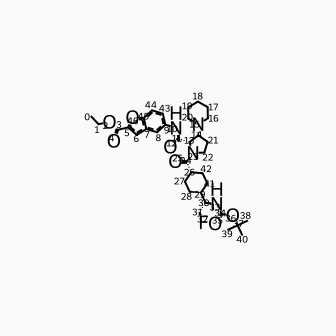 CCOC(=O)c1cc2cc(NC(=O)[C@@H]3[C@H](N4CCCCC4)CCN3C(=O)[C@H]3CC[C@H]([C@@H](CF)NC(=O)OC(C)(C)C)CC3)ccc2o1